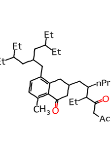 CCCC(CC1CC(=O)c2c(C)ccc(CC(CC(CC)CC)CC(CC)CC)c2C1)C(CC)C(=O)CC(C)=O